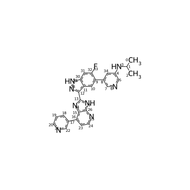 CC(C)Nc1cncc(-c2cc3c(-c4nc5c(-c6cccnc6)ccnc5[nH]4)n[nH]c3cc2F)c1